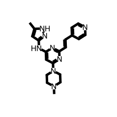 Cc1cc(Nc2cc(N3CCN(C)CC3)nc(/C=C/c3ccncc3)n2)n[nH]1